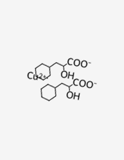 O=C([O-])C(O)CC1CCCCC1.O=C([O-])C(O)CC1CCCCC1.[Cu+2]